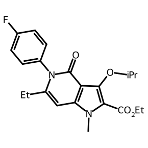 CCOC(=O)c1c(OC(C)C)c2c(=O)n(-c3ccc(F)cc3)c(CC)cc2n1C